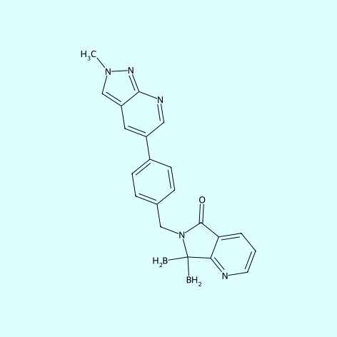 BC1(B)c2ncccc2C(=O)N1Cc1ccc(-c2cnc3nn(C)cc3c2)cc1